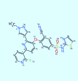 Cn1cc(-c2nc(-c3cccnc3F)ccc2Oc2ccc(S(=O)(=O)Nc3nccs3)cc2C#N)cn1